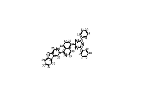 c1ccc(-c2nc(-c3ccccc3)nc(-c3cccc4c(-c5cc6c(cn5)oc5ccccc56)nccc34)n2)cc1